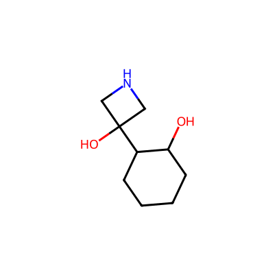 OC1CCCCC1C1(O)CNC1